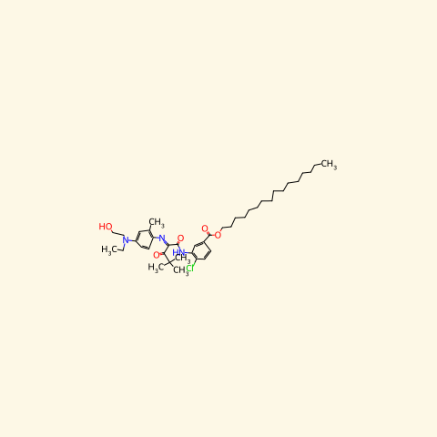 CCCCCCCCCCCCCCCCOC(=O)c1ccc(Cl)c(NC(=O)/C(=N/c2ccc(N(CC)CCO)cc2C)C(=O)C(C)(C)C)c1